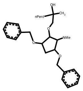 CCCCCC(C)(O)COC1C(OCc2ccccc2)CC(OCc2ccccc2)C1NC